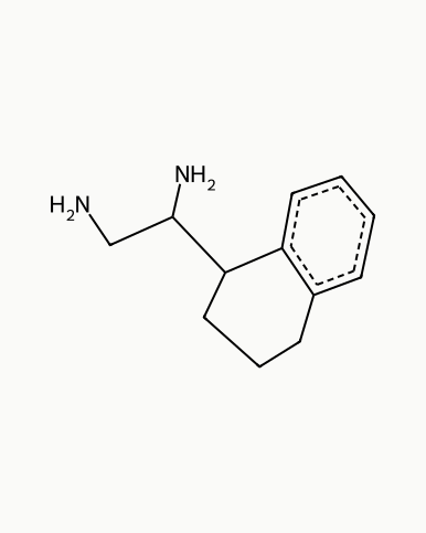 NCC(N)C1CCCc2ccccc21